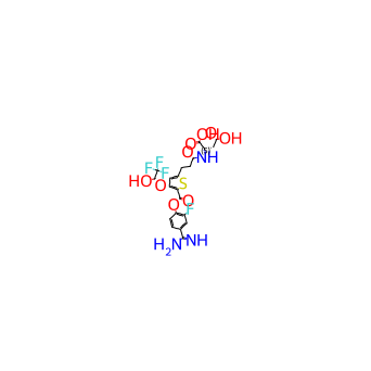 N=C(N)c1ccc(OC(=O)c2ccc(CCC(=O)N[C@@H](CC(=O)O)C(=O)O)s2)c(F)c1.O=C(O)C(F)(F)F